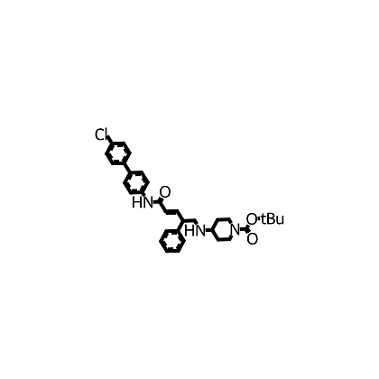 CC(C)(C)OC(=O)N1CCC(NCC(C=CC(=O)Nc2ccc(-c3ccc(Cl)cc3)cc2)c2ccccc2)CC1